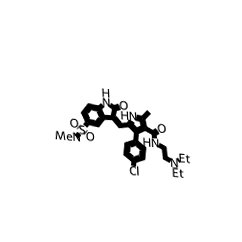 CCN(CC)CCNC(=O)c1c(C)[nH]c(/C=C2\C(=O)Nc3ccc(S(=O)(=O)NC)cc32)c1-c1ccc(Cl)cc1